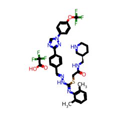 Cc1cccc(C)c1N=C(N/N=C/c1ccc(-c2ncn(-c3ccc(OC(F)(F)F)cc3)n2)cc1)SCC(=O)NC[C@@H]1CCCNC1.O=C(O)C(F)(F)F